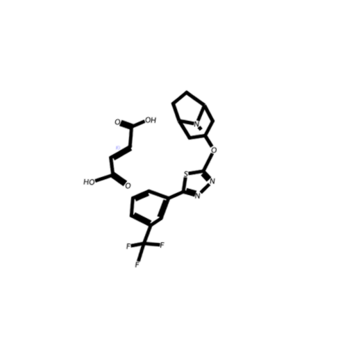 CN1C2CCC1CC(Oc1nnc(-c3cccc(C(F)(F)F)c3)s1)C2.O=C(O)/C=C/C(=O)O